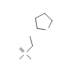 [3H][C@H]1C[C@@H](O)[C@@H](CCP(C)(=O)S)O1